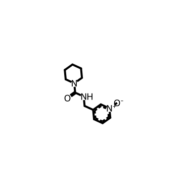 O=C(NCc1ccc[n+]([O-])c1)N1CCCCC1